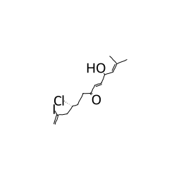 C=C(I)C[C@H](Cl)CCC(=O)/C=C/C(O)C=C(C)C